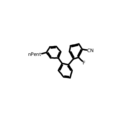 CCCCCc1cccc(-c2ccccc2-c2cccc(C#N)c2F)c1